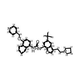 CC(C)(C)c1cc(NC(=O)Nc2ccc(OCc3ccncc3)c3ccccc23)c2occ(CCN3CCCC3)c2c1